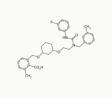 Cc1cccc(CN(CCOC2CCCC(OCc3cccc(C)c3C(=O)O)C2)C(=O)Nc2cccc(F)c2)c1